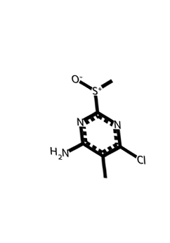 Cc1c(N)nc([S+](C)[O-])nc1Cl